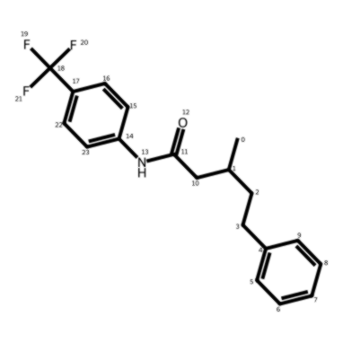 CC(CCc1ccccc1)CC(=O)Nc1ccc(C(F)(F)F)cc1